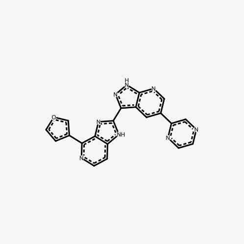 c1cnc(-c2cnc3[nH]nc(-c4nc5c(-c6ccoc6)nccc5[nH]4)c3c2)cn1